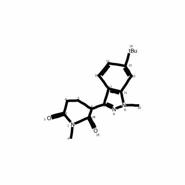 CN1C(=O)CCC(c2nn(C)c3cc(C(C)(C)C)ccc23)C1=O